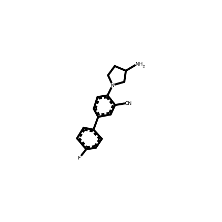 N#Cc1cc(-c2ccc(F)cc2)ccc1N1CCC(N)C1